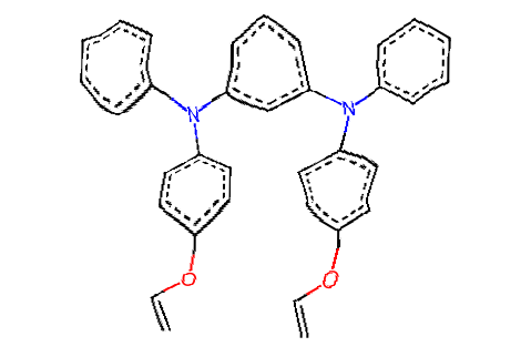 C=COc1ccc(N(c2ccccc2)c2cccc(N(c3ccccc3)c3ccc(OC=C)cc3)c2)cc1